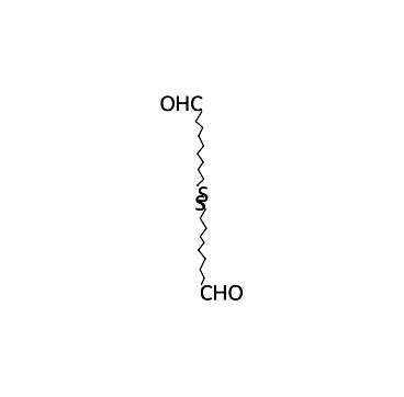 O=CCCCCCCCCCCSSCCCCCCCCCCC=O